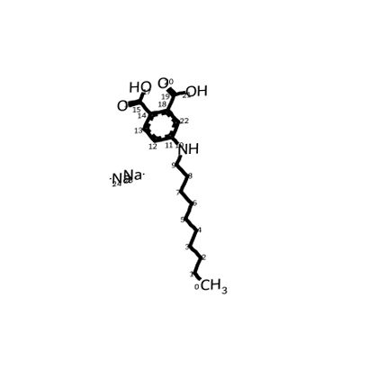 CCCCCCCCCCNc1ccc(C(=O)O)c(C(=O)O)c1.[Na].[Na]